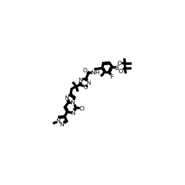 Cc1c(CNC(=O)c2noc(C(C)(C)Cc3cn4c(Cl)nc(-c5cnn(C)c5)cc4n3)n2)ccc(B2OC(C)(C)C(C)(C)O2)c1F